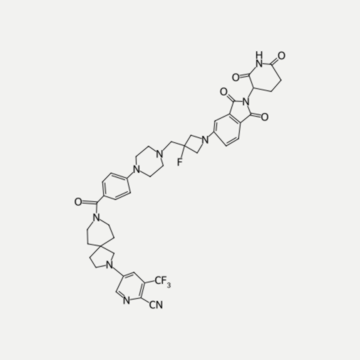 N#Cc1ncc(N2CCC3(CCN(C(=O)c4ccc(N5CCN(CC6(F)CN(c7ccc8c(c7)C(=O)N(C7CCC(=O)NC7=O)C8=O)C6)CC5)cc4)CC3)C2)cc1C(F)(F)F